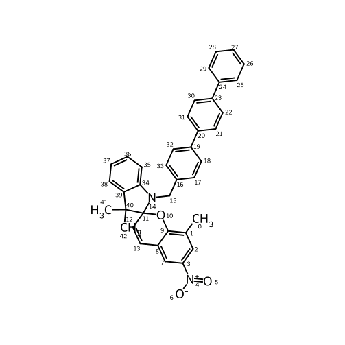 Cc1cc([N+](=O)[O-])cc2c1OC1(C=C2)N(Cc2ccc(-c3ccc(-c4ccccc4)cc3)cc2)c2ccccc2C1(C)C